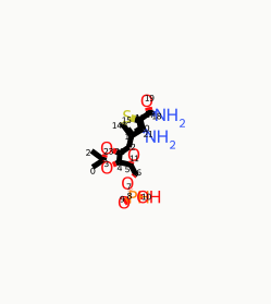 CC1(C)OC2C(CO[PH](=O)O)OC(c3csc(C(N)=O)c3N)C2O1